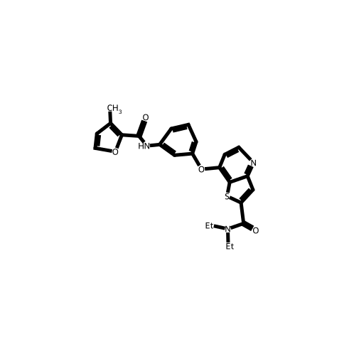 CCN(CC)C(=O)c1cc2nccc(Oc3cccc(NC(=O)c4occc4C)c3)c2s1